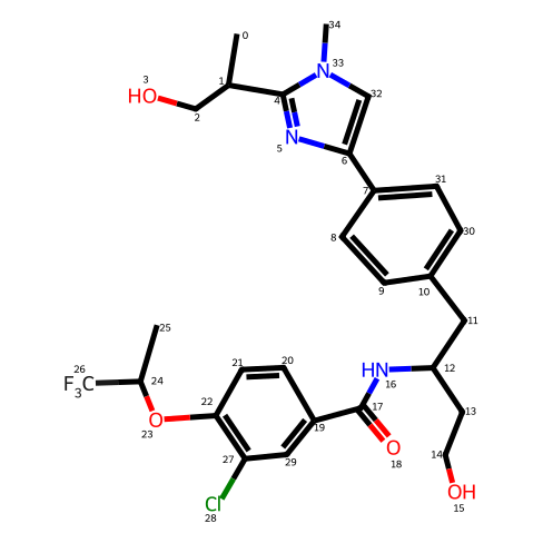 CC(CO)c1nc(-c2ccc(CC(CCO)NC(=O)c3ccc(OC(C)C(F)(F)F)c(Cl)c3)cc2)cn1C